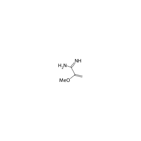 C=C(OC)C(=N)N